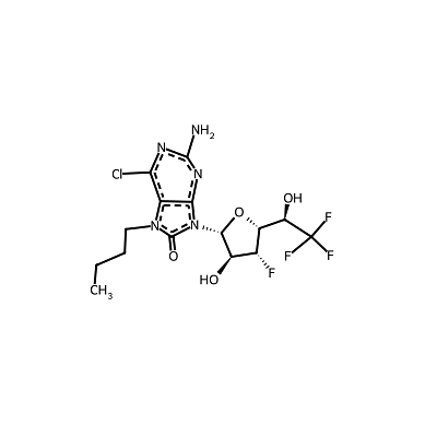 CCCCn1c(=O)n([C@@H]2O[C@H]([C@@H](O)C(F)(F)F)[C@H](F)[C@H]2O)c2nc(N)nc(Cl)c21